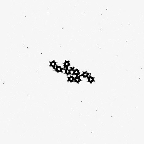 CC1(C)c2ccc3c(c2N(c2ccccc2)c2ccc4c(c21)c1ccccc1n4-c1ccc2oc4ccccc4c2c1)c1ccccc1n3-c1ccc2oc3ccccc3c2c1